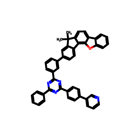 CC1(C)c2cc(-c3cccc(-c4nc(-c5ccccc5)nc(-c5ccc(-c6cccnc6)cc5)n4)c3)ccc2-c2c1ccc1c2oc2ccccc21